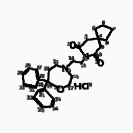 Cl.O=C1CC2(CCCC2)CC(=O)N1CCN1CCOC(c2ccccc2)(c2ccccc2)CC1